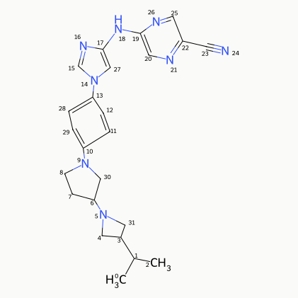 CC(C)C1CN(C2CCN(c3ccc(-n4cnc(Nc5cnc(C#N)cn5)c4)cc3)C2)C1